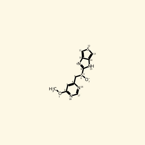 COc1cc(C[S+]([O-])c2nc3cscc3[nH]2)ncn1